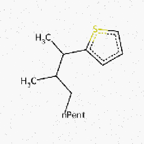 CCCCCCC(C)C(C)c1cccs1